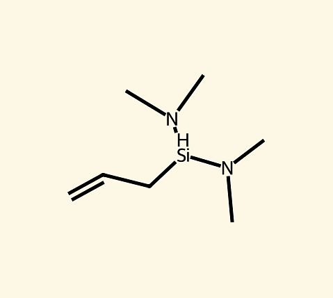 C=CC[SiH](N(C)C)N(C)C